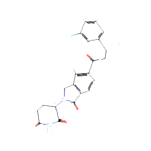 O=C1CCC(N2Cc3c(ccc(C(=O)C[C@H](c4cccc(Cl)c4)C(F)(F)F)c3F)C2=O)C(=O)N1